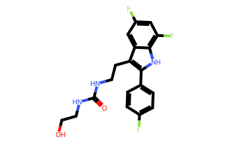 O=C(NCCO)NCCc1c(-c2ccc(F)cc2)[nH]c2c(F)cc(F)cc12